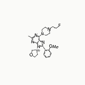 COc1ccccc1-c1nc2c(N3CCN(CCF)CC3)nc(C)nc2n1[C@@H]1CCOC1